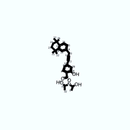 CC(O)N(OC(=O)c1ccc(C#CCc2ccc3c(c2)C(C)(C)CCC3(C)C)cc1O)C(C)O